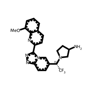 COc1cccc2ccc(-c3nnc4ccc([C@H](N5CCC(N)C5)C(F)(F)F)cn34)nc12